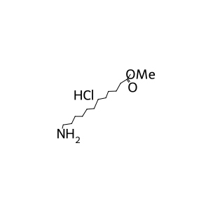 COC(=O)CCCCCCCCCCCN.Cl